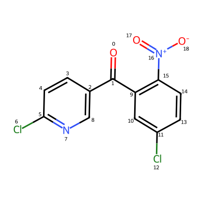 O=C(c1ccc(Cl)nc1)c1cc(Cl)ccc1[N+](=O)[O-]